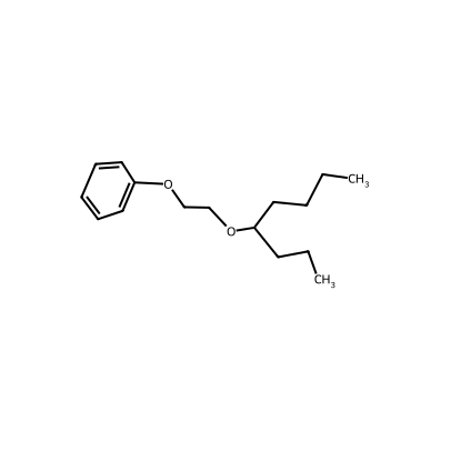 CCCCC(CCC)OCCOc1ccccc1